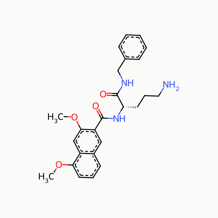 COc1cc2c(OC)cccc2cc1C(=O)N[C@@H](CCCN)C(=O)NCc1ccccc1